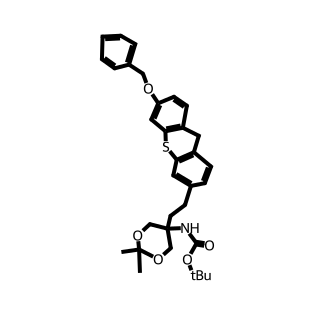 CC(C)(C)OC(=O)NC1(CCc2ccc3c(c2)Sc2cc(OCc4ccccc4)ccc2C3)COC(C)(C)OC1